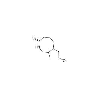 CC1CNC(=O)CCCC1CC[O]